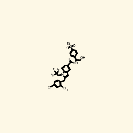 [2H]C([2H])(F)Cn1c(Cc2ccc(Cl)cc2C(F)(F)F)cc2cc(C(=O)NC(CO)c3ccc(S(=O)(=O)CC)cc3)ccc21